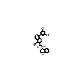 N#Cc1c(C(=O)N[C@H]2CCOc3ccccc32)cnc2c(-c3cc(Cl)cc(Cl)c3)nccc12